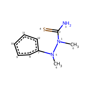 CN(C(N)=S)N(C)c1ccccc1